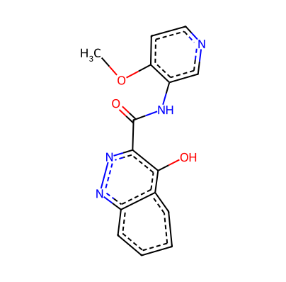 COc1ccncc1NC(=O)c1nnc2ccccc2c1O